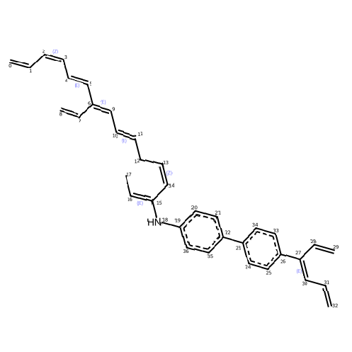 C=C\C=C/C=C/C(C=C)=C/C=C/C/C=C\C(=C/C)Nc1ccc(-c2ccc(/C(C=C)=C/C=C)cc2)cc1